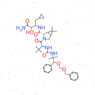 CC(C)(NC(=O)N[C@H](C(=O)N1CC2C([C@H]1C(=O)NC(CC1CC1)C(O)C(N)=O)C2(C)C)C(C)(C)C)C(OCOCc1ccccc1)c1ccccc1